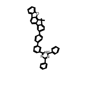 CC1(C)c2ccc(-c3ccc(-c4cccc(C5=NC(c6ccccc6)=NC(c6ccccc6)N5)c4)cc3)cc2-c2ccc3c(oc4ccccc43)c21